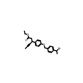 CC#CC(CC(=O)OCC)c1ccc(OCc2ccc(C(C)Br)cc2)cc1